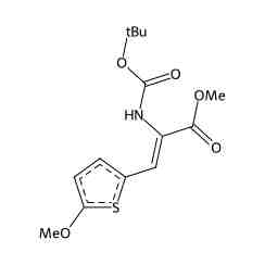 COC(=O)/C(=C/c1ccc(OC)s1)NC(=O)OC(C)(C)C